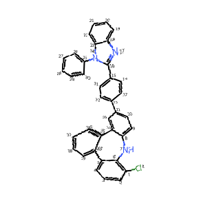 Clc1cccc2c1Nc1ccc(-c3ccc(-c4nc5ccccc5n4-c4ccccc4)cc3)cc1-c1ccccc1-2